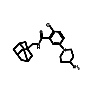 NC1CCN(c2ccc(Cl)c(C(=O)NCC34CC5CC(CC(C5)C3)C4)c2)CC1